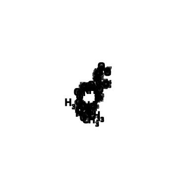 CCn1c(-c2cccnc2[C@H](C)OC)c2c3cc(ccc31)-c1csc(n1)C[C@H](NC(=O)C(C1CCCC1)N1CC[C@]3(CCN(C(=O)[C@H]4CO4)C3)C1)C(=O)N1CCC[C@H](N1)C(=O)OCC(C)(C)C2